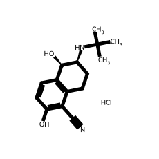 CC(C)(C)N[C@H]1CCc2c(ccc(O)c2C#N)[C@H]1O.Cl